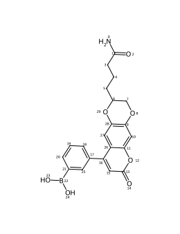 NC(=O)CCCC1COc2cc3oc(=O)cc(-c4cccc(B(O)O)c4)c3cc2O1